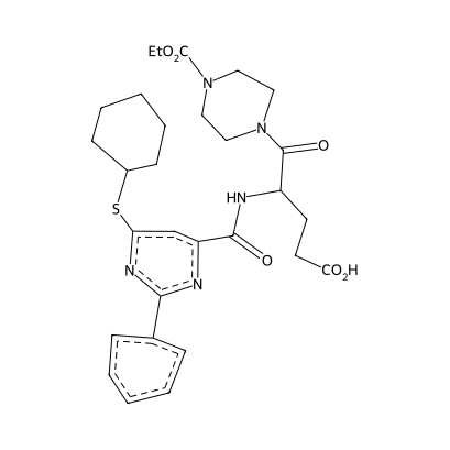 CCOC(=O)N1CCN(C(=O)C(CCC(=O)O)NC(=O)c2cc(SC3CCCCC3)nc(-c3ccccc3)n2)CC1